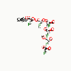 O=[Si]([O-])F.O=[Si]([O-])F.O=[Si]([O-])F.O=[Si]([O-])F.O=[Si]([O-])F.O=[Si]([O-])F.[Co+2].[Co+2].[Co+2]